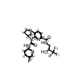 O=C(NC[C@@H](O)C(F)(F)F)c1ccc2c(n1)N(C(=O)Nc1ccc(F)cn1)C1CCN2C1